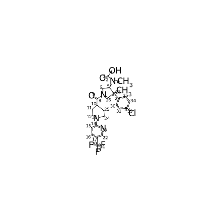 CN(C(=O)O)[C@@H]1CN(C(=O)C2CCN(c3ccc(C(F)(F)F)cn3)CC2)C[C@@]1(C)c1ccc(Cl)cc1